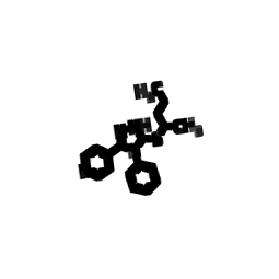 CCCC(C)SC1NN=C(c2ccncc2)N1c1ccccc1